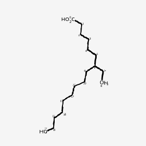 O=C(O)CCCCCC(CO)CCCCCCCCO